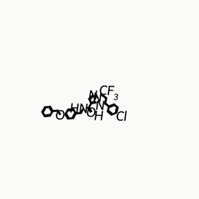 O=C(NCc1ccc(OCc2ccccc2)cc1)c1cnn2c1NC(c1ccc(Cl)cc1)CC2C(F)(F)F